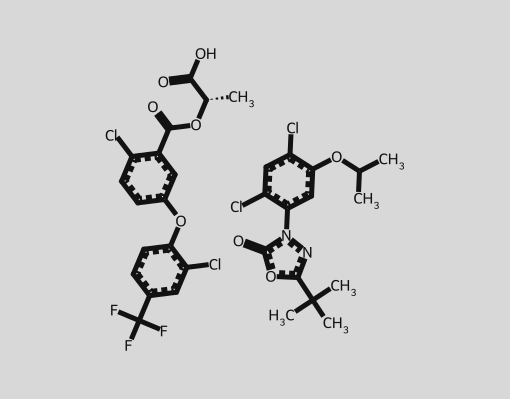 CC(C)Oc1cc(-n2nc(C(C)(C)C)oc2=O)c(Cl)cc1Cl.C[C@H](OC(=O)c1cc(Oc2ccc(C(F)(F)F)cc2Cl)ccc1Cl)C(=O)O